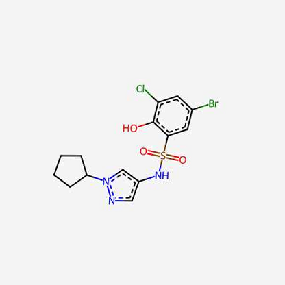 O=S(=O)(Nc1cnn(C2CCCC2)c1)c1cc(Br)cc(Cl)c1O